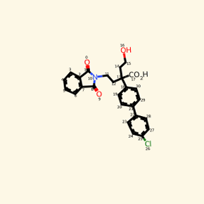 O=C1c2ccccc2C(=O)N1CCC(CCO)(C(=O)O)c1ccc(-c2ccc(Cl)cc2)cc1